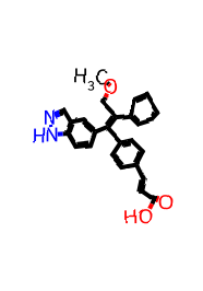 COCC(=C(c1ccc(C=CC(=O)O)cc1)c1ccc2[nH]ncc2c1)c1ccccc1